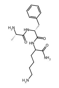 C[C@H](N)C(=O)N[C@H](Cc1ccccc1)C(=O)NC(CCCCN)C(N)=O